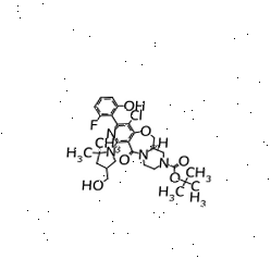 CC(C)(C)OC(=O)N1CCN2C(=O)c3c(N4CC(CO)CC4(C)C)nc(-c4c(O)cccc4F)c(Cl)c3OC[C@H]2C1